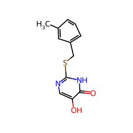 Cc1cccc(CSc2ncc(O)c(=O)[nH]2)c1